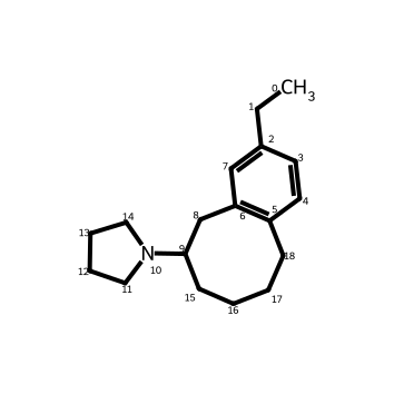 CCc1ccc2c(c1)CC(N1CCCC1)CCCC2